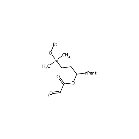 C=CC(=O)OC(CCCCC)CC[Si](C)(C)OCC